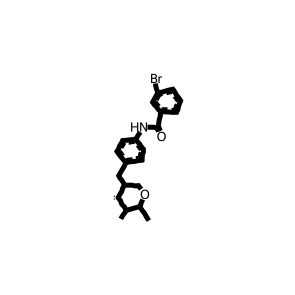 CC1[C]C(Cc2ccc(NC(=O)c3cccc(Br)c3)cc2)COC1C